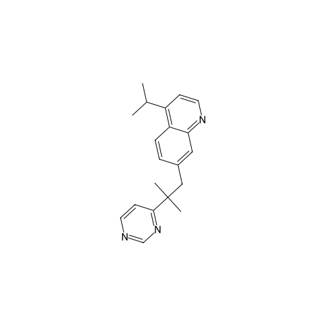 CC(C)c1ccnc2cc(CC(C)(C)c3ccncn3)ccc12